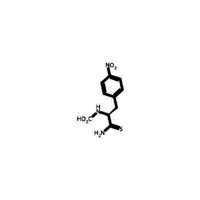 NC(=S)[C@H](Cc1ccc([N+](=O)[O-])cc1)NC(=O)O